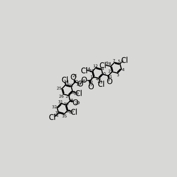 O=C(c1ccc(Cl)cc1Cl)c1ccc(Cl)c(C(=O)OOC(=O)c2c(Cl)ccc(C(=O)c3ccc(Cl)cc3Cl)c2Cl)c1Cl